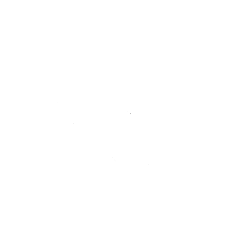 CCOC(=O)c1cn(C2CC2)c2c(OS(=O)(=O)C(F)(F)F)c(F)cnc2c1=O